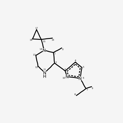 CC1C(c2ccn(C(C)C)n2)NCCN1C1(C)CC1